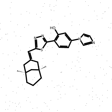 C[C@]12CCC[C@](C)(C/C(=C\c3nnc(-c4ccc(-n5ccnc5)cc4O)s3)C1)C2